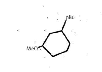 CCC[CH]C1CCCC(OC)C1